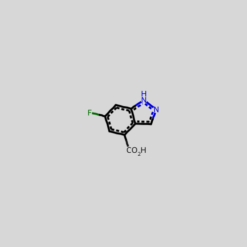 O=C(O)c1cc(F)cc2[nH]ncc12